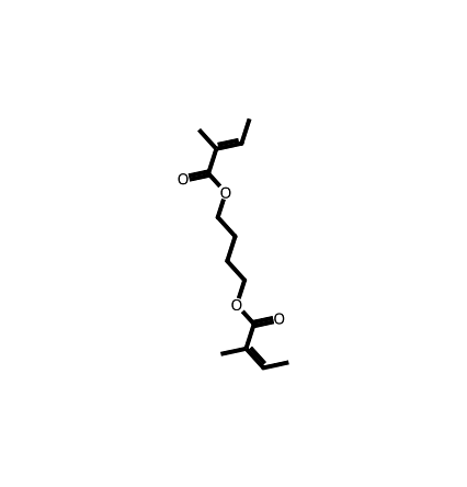 CC=C(C)C(=O)OCCCCOC(=O)C(C)=CC